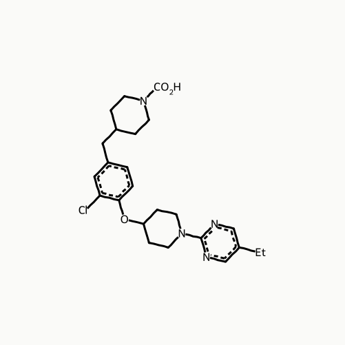 CCc1cnc(N2CCC(Oc3ccc(CC4CCN(C(=O)O)CC4)cc3Cl)CC2)nc1